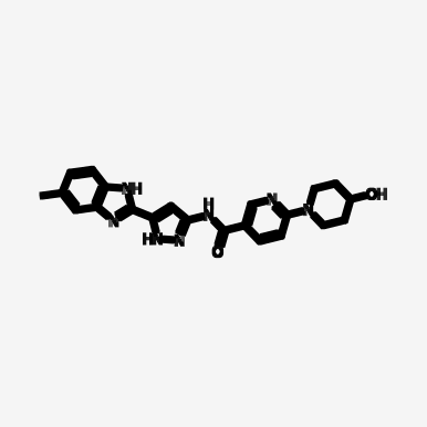 Cc1ccc2[nH]c(-c3cc(NC(=O)c4ccc(N5CCC(O)CC5)nc4)n[nH]3)nc2c1